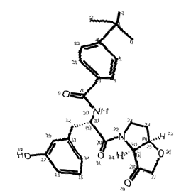 CC(C)(C)c1ccc(C(=O)N[C@@H](Cc2cccc(O)c2)C(=O)N2CC[C@H]3OCC(=O)[C@H]32)cc1